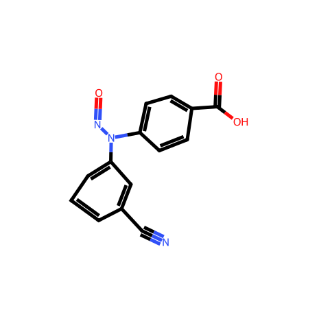 N#Cc1cccc(N(N=O)c2ccc(C(=O)O)cc2)c1